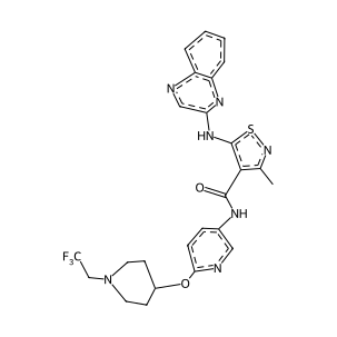 Cc1nsc(Nc2cnc3ccccc3n2)c1C(=O)Nc1ccc(OC2CCN(CC(F)(F)F)CC2)nc1